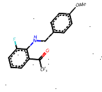 COc1ccc(CNc2c(F)cccc2C(=O)C(F)(F)F)cc1